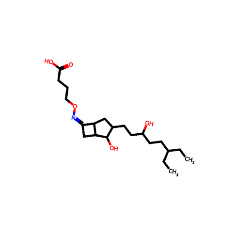 CCC(CC)CCC(O)CCC1CC2C(=NOCCCC(=O)O)CC2C1O